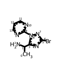 CC(N)c1nc(Br)nn1-c1ncccn1